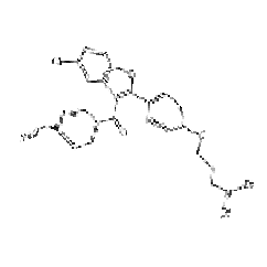 CCN(CC)CCCOc1ccc(-c2oc3ccc(Cl)cc3c2C(=O)c2ccc(OC)cc2)cc1